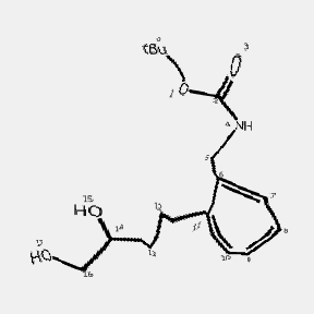 CC(C)(C)OC(=O)NCc1ccccc1CCC(O)CO